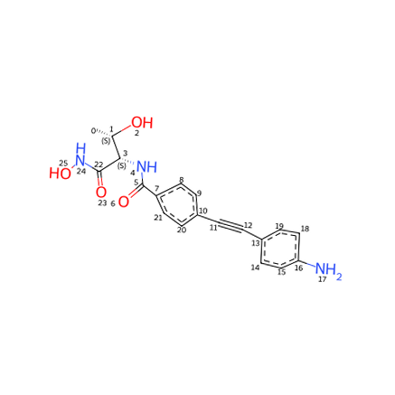 C[C@H](O)[C@H](NC(=O)c1ccc(C#Cc2ccc(N)cc2)cc1)C(=O)NO